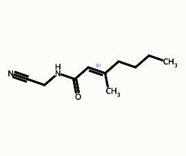 CCCC/C(C)=C/C(=O)NCC#N